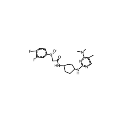 Cc1cnc(NC2CCC(NC(=O)C[S+]([O-])c3ccc(F)c(F)c3)CC2)nc1N(C)C